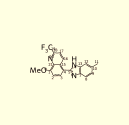 COc1ccc(-c2nc3ccc(C)cc3[nH]2)c2ccc(C(F)(F)F)nc12